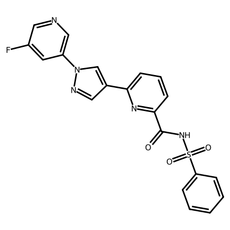 O=C(NS(=O)(=O)c1ccccc1)c1cccc(-c2cnn(-c3cncc(F)c3)c2)n1